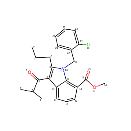 CCCc1c(C(=O)C(C)C)c2cccc(C(=O)OC)c2n1Cc1ccccc1Cl